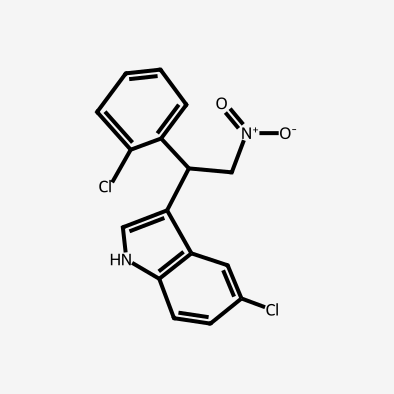 O=[N+]([O-])CC(c1ccccc1Cl)c1c[nH]c2ccc(Cl)cc12